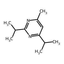 Cc1cc(C(C)C)nc(C(C)C)n1